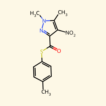 Cc1ccc(SC(=O)c2nn(C)c(C)c2[N+](=O)[O-])cc1